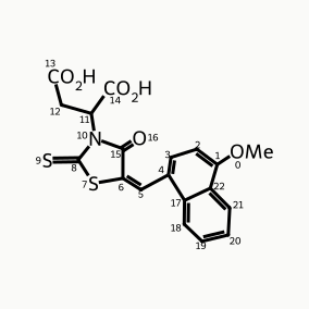 COc1ccc(C=C2SC(=S)N(C(CC(=O)O)C(=O)O)C2=O)c2ccccc12